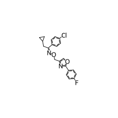 Fc1ccc(-c2nc(CON=C(CC3CC3)c3ccc(Cl)cc3)co2)cc1